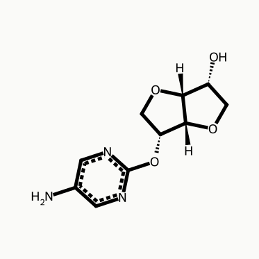 Nc1cnc(O[C@@H]2CO[C@H]3[C@@H]2OC[C@H]3O)nc1